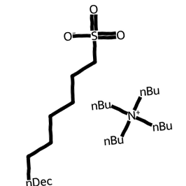 CCCCCCCCCCCCCCCCS(=O)(=O)[O-].CCCC[N+](CCCC)(CCCC)CCCC